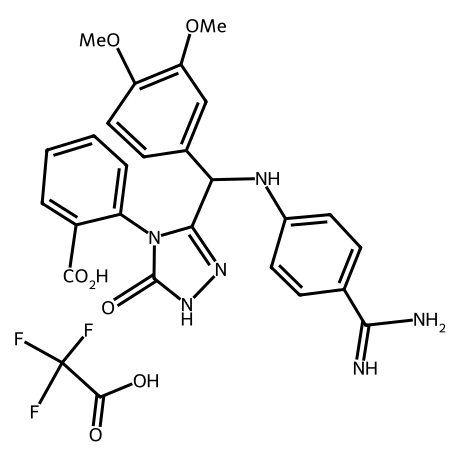 COc1ccc(C(Nc2ccc(C(=N)N)cc2)c2n[nH]c(=O)n2-c2ccccc2C(=O)O)cc1OC.O=C(O)C(F)(F)F